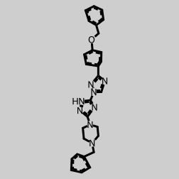 c1ccc(COc2ccc(-c3ncn(-c4nc(N5CCN(Cc6ccccc6)CC5)n[nH]4)n3)cc2)cc1